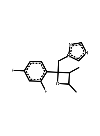 CC1OC(Cn2cncn2)(c2ccc(F)cc2F)C1C